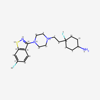 NC1CCC(F)(CCN2CCN(c3nsc4cc(F)ccc34)CC2)CC1